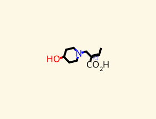 C/C=C(\CN1CCC(O)CC1)C(=O)O